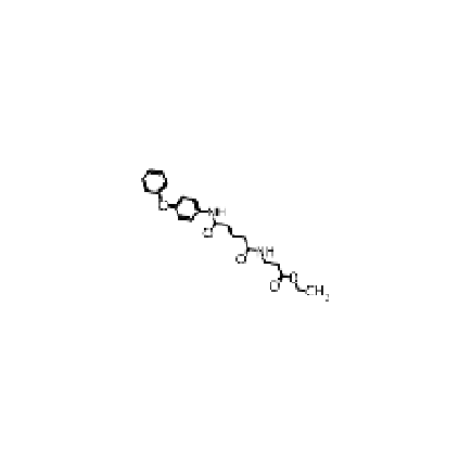 CCOC(=O)CCNC(=O)CCCC(=O)Nc1ccc(Oc2ccccc2)cc1